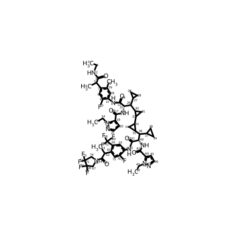 CCNC(=O)C(C)c1cc(F)c(NC(=O)[C@@H](NC(=O)c2ccnn2CC)C(C2CC2)C2CC2C2CC2C(C2CC2)[C@H](NC(=O)c2ccnn2CC)C(=O)Nc2cc(C(F)(F)F)c(C(C)C(=O)N3CC(F)(F)C(F)(F)C3)cc2F)cc1C